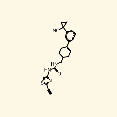 C#Cc1nc(NC(=O)NCC2CC=C(c3cccc(C4(C#N)CC4)c3)CC2)cs1